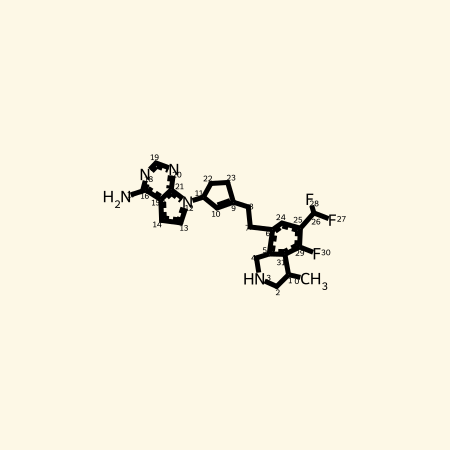 CC1CNCc2c(CCC3=CC(n4ccc5c(N)ncnc54)CC3)cc(C(F)F)c(F)c21